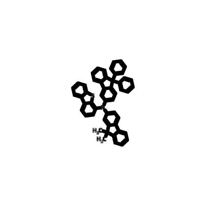 CC1(C)c2ccccc2-c2ccc(N(c3ccc4c(c3)-c3ccccc3C4(c3ccccc3)c3ccccc3)c3cccc4c3sc3ccccc34)cc21